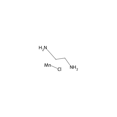 NCCN.[Cl][Mn]